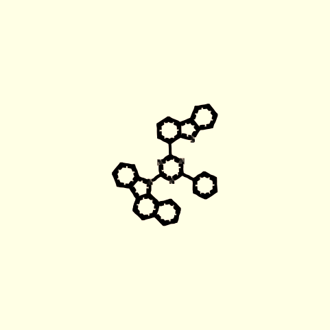 c1ccc(-c2nc(-c3cccc4c3sc3ccccc34)nc(-n3c4ccccc4c4ccc5ccccc5c43)n2)cc1